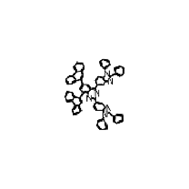 c1ccc(-c2nc3cc(-c4nc(-c5ccc6c(c5)nc(-c5ccccc5)n6-c5ccccc5)c5cc(-c6cc7ccccc7c7ccccc67)cc(-c6cc7ccccc7c7ccccc67)c5n4)ccc3n2-c2ccccc2)cc1